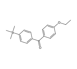 CCOc1ccc(C(=O)c2ccc([Si](C)(C)C)cc2)cc1